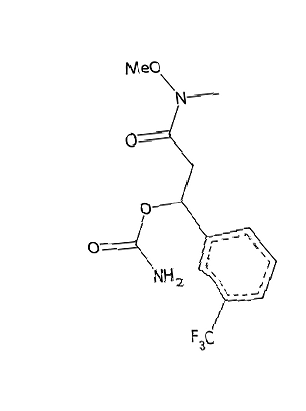 CON(C)C(=O)CC(OC(N)=O)c1cccc(C(F)(F)F)c1